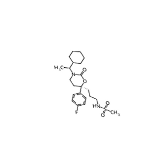 C[C@@H](C1CCCCC1)N1CC[C@](CCCNS(C)(=O)=O)(c2ccc(F)cc2)OC1=O